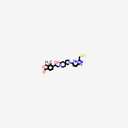 Cc1c([C@@H](O)CN2CCC3(CC2)CCN(c2ccc4nnc(CS)n4n2)C3)ccc2c1COC2=O